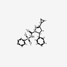 O=C(NS(=O)(=O)c1ccccc1)N1N=C(C2CC2)CC1c1ccccc1